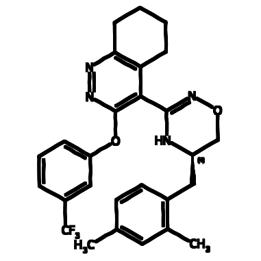 Cc1ccc(C[C@@H]2CON=C(c3c(Oc4cccc(C(F)(F)F)c4)nnc4c3CCCC4)N2)c(C)c1